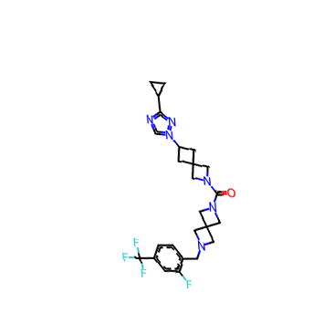 O=C(N1CC2(CC(n3cnc(C4CC4)n3)C2)C1)N1CC2(CN(Cc3ccc(C(F)(F)F)cc3F)C2)C1